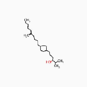 C=C(CCCCC)CCCCC1CCC(CCCC(O)C(C)C)CC1